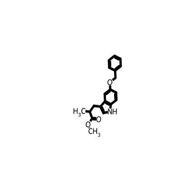 COC(=O)C(C)Cc1c[nH]c2ccc(OCc3ccccc3)cc12